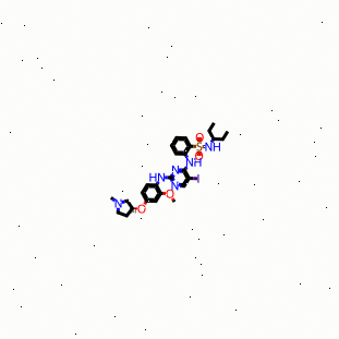 CCC(CC)NS(=O)(=O)c1ccccc1Nc1nc(Nc2ccc(O[C@H]3CCN(C)C3)cc2OC)ncc1I